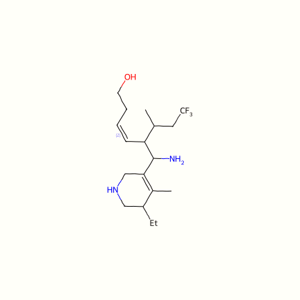 CCC1CNCC(C(N)C(/C=C\CCO)C(C)CC(F)(F)F)=C1C